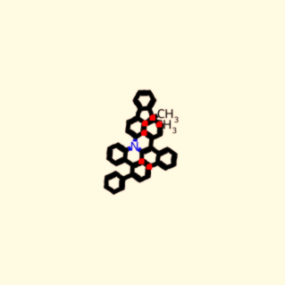 CC1(C)c2ccccc2-c2ccc(N(c3ccccc3-c3ccccc3C3=CCCC=C3)c3ccc4ccccc4c3-c3ccccc3)cc21